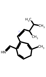 CC1=CC(/C=C\C(C)C(C)C)=C(C=N)C=CC1